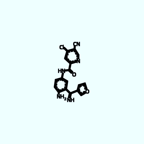 N#Cc1cnc(C(=O)Nc2ccc(N)c(C(=N)c3ccoc3)c2)cc1Cl